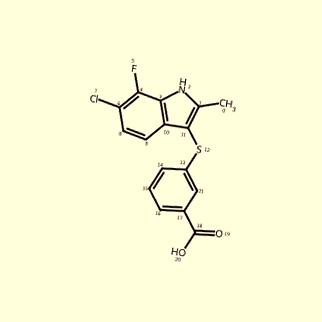 Cc1[nH]c2c(F)c(Cl)ccc2c1Sc1cccc(C(=O)O)c1